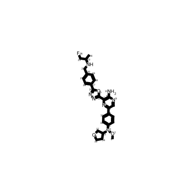 CON(c1ccc(-c2cnc(N)c(-c3nnc(-c4ccc(CNC(C)CF)cc4)o3)n2)cc1)C1CCOC1